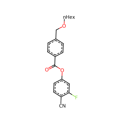 CCCCCCOCc1ccc(C(=O)Oc2ccc(C#N)c(F)c2)cc1